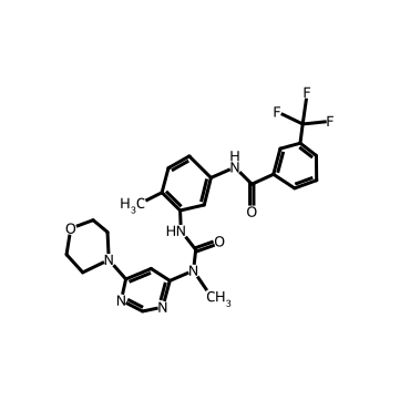 Cc1ccc(NC(=O)c2cccc(C(F)(F)F)c2)cc1NC(=O)N(C)c1cc(N2CCOCC2)ncn1